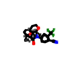 C[C@]12CC[C@@]3(CCO[C@@H]4[C@H]3[C@H]1C(=O)N4c1ccc(C#N)c(C(F)(F)F)c1)O2